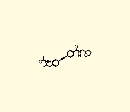 CC(=O)NC(C)Cc1ccc(C#Cc2ccc(C(=O)NCC3CCCO3)cc2)cc1